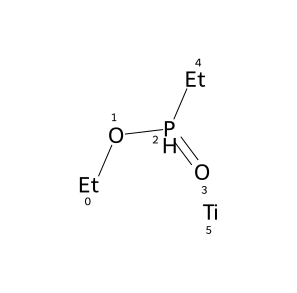 CCO[PH](=O)CC.[Ti]